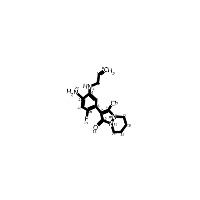 C=CCNc1cc(-c2c(Cl)n3n(c2=O)CCCC3)c(F)cc1N